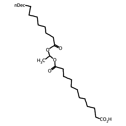 CCCCCCCCCCCCCCCCCC(=O)OC(C)OC(=O)CCCCCCCCCCC(=O)O